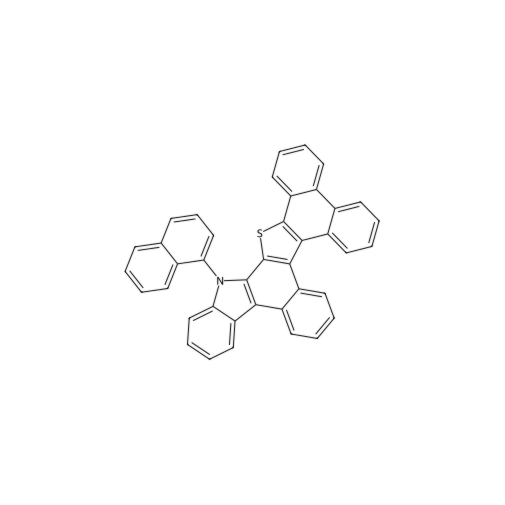 c1ccc2c(-n3c4ccccc4c4c5ccccc5c5c(sc6c7ccccc7c7ccccc7c65)c43)cccc2c1